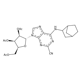 CC(=O)OC[C@@H]1O[C@@H](n2cnc3c(NC4CC5CCC4C5)nc(C#N)nc32)[C@H](OC(C)=O)[C@@H]1OC(C)=O